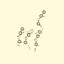 CCOC(=O)CCCOc1ccc(-c2noc(-c3ccc(-c4ccccc4CC)c(COC)c3)n2)cc1F.CCOC(=O)CCCOc1cccc(-c2noc(-c3ccc(N4CCCCC4C)c(COC)c3)n2)c1.COCc1cc(-c2nc(-c3ccc(OC(C(=O)O)C(C)(C)C)c(F)c3)no2)ccc1-c1ccccc1C.COCc1cc(-c2nc(-c3cccc(CCOCC(=O)O)c3)no2)ccc1-c1ccccc1C